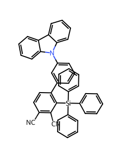 N#Cc1ccc(-c2cccc(-n3c4ccccc4c4ccccc43)c2)c([Si](c2ccccc2)(c2ccccc2)c2ccccc2)c1C#N